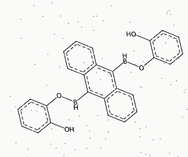 Oc1ccccc1OBc1c2ccccc2c(BOc2ccccc2O)c2ccccc12